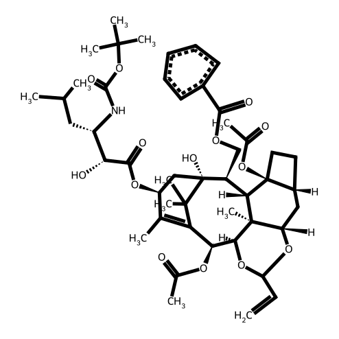 C=CC1O[C@H]2C[C@H]3CC[C@@]3(OC(C)=O)[C@H]3[C@H](COC(=O)c4ccccc4)[C@]4(O)C[C@H](OC(=O)[C@H](O)[C@H](CC(C)C)NC(=O)OC(C)(C)C)C(C)=C([C@H](OC(C)=O)[C@H](O1)[C@]23C)C4(C)C